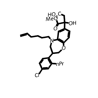 C=CCCCCN1CC(c2ccc(Cl)cc2CCC)COc2ccc(C(O)(CC(=O)O)C(=O)OC)cc21